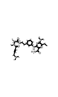 CCc1nc(C(N)=O)c(Nc2cccc(CCNC(=O)[C@H](C)N(C)C(=O)C#CCN(C)C)c2)nc1N(C)C